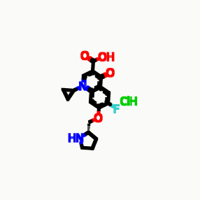 Cl.O=C(O)c1cn(C2CC2)c2cc(OC[C@@H]3CCCN3)c(F)cc2c1=O